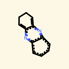 C1=c2nc3ccccc3nc2=CCC1